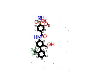 COc1cc(C(=O)Nc2ccc(-c3ccccc3C(F)(F)F)c(CO)c2)ccc1S(N)(=O)=O